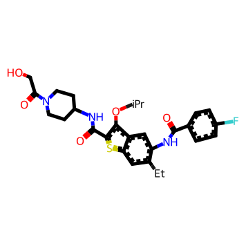 CCc1cc2sc(C(=O)NC3CCN(C(=O)CO)CC3)c(OC(C)C)c2cc1NC(=O)c1ccc(F)cc1